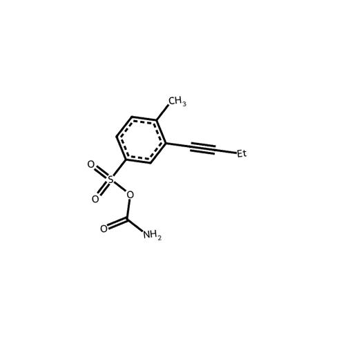 CCC#Cc1cc(S(=O)(=O)OC(N)=O)ccc1C